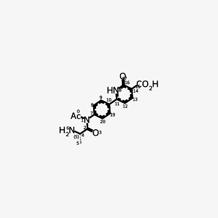 CC(=O)N(C(=O)[C@H](C)N)c1ccc(-c2ccc(C(=O)O)c(=O)[nH]2)cc1